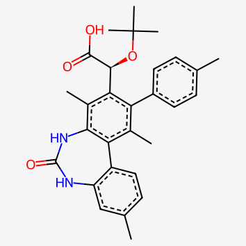 Cc1ccc(-c2c(C)c3c(c(C)c2[C@H](OC(C)(C)C)C(=O)O)NC(=O)Nc2cc(C)ccc2-3)cc1